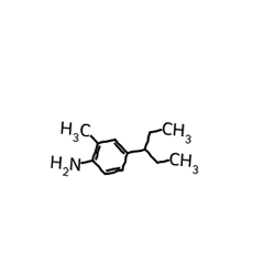 CCC(CC)c1ccc(N)c(C)c1